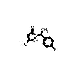 CC(c1ccc(F)cc1)n1[nH]c(C(F)(F)F)cc1=O